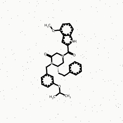 COc1cccc2[nH]c(C(=O)N3CC(=O)N(Cc4cccc(OC(C)C)c4)[C@@H](CCc4ccccc4)C3)cc12